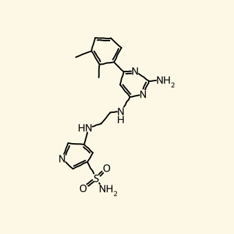 Cc1cccc(-c2cc(NCCNc3cncc(S(N)(=O)=O)c3)nc(N)n2)c1C